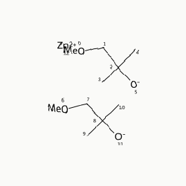 COCC(C)(C)[O-].COCC(C)(C)[O-].[Zn+2]